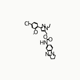 CCn1nc(-c2ccc(Cl)cc2OC)cc1COC(=O)Nc1ccc2c(c1)nc1n2CCC1